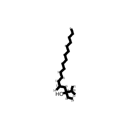 CCCCCCCCCCCCCC(C)CC(O)(CC)C(C)C